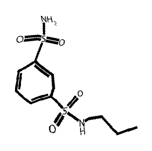 CCCNS(=O)(=O)c1cccc(S(N)(=O)=O)c1